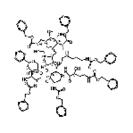 O=C(NCCCNCCO[C@@H]1[C@@H](O[C@@H]2O[C@H](CO)[C@@H](O[C@H]3O[C@@H](CNC(=O)OCc4ccccc4)[C@@H](O)[C@H](O)[C@H]3NC(=O)OCc3ccccc3)[C@H]2O)[C@H](O[C@H]2O[C@@H]3COC(c4ccccc4)O[C@H]3[C@H](O)[C@H]2NC(=O)OCc2ccccc2)[C@@H](NC(=O)OCc2ccccc2)C[C@H]1NC(=O)[C@@H](O)CCNC(=O)OCc1ccccc1)OCc1ccccc1